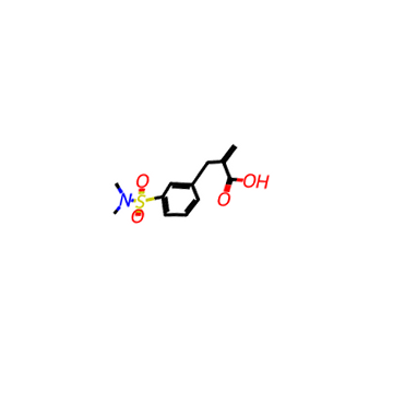 C=C(Cc1cccc(S(=O)(=O)N(C)C)c1)C(=O)O